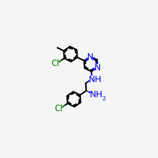 Cc1ccc(-c2cc(NC[C@@H](N)c3ccc(Cl)cc3)ncn2)cc1Cl